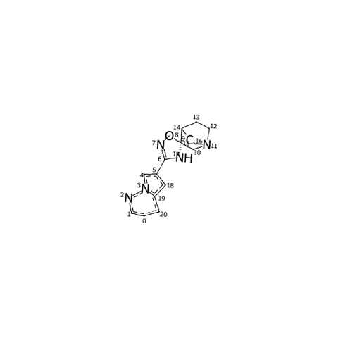 c1cnn2cc(C3=NO[C@@]4(CN5CCC4CC5)N3)cc2c1